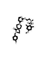 COc1cc(C)c(S(=O)(=O)N(C)CCOc2nccc(N3CCC4(CCN(Cc5ccc(F)cc5)C4=O)CC3)n2)c(C)c1